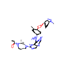 C=CC(=O)N1CCCN(c2ncc3ncnc(Nc4ccc(Oc5ccc6c(c5)nnn6C)c(C)c4)c3n2)C[C@H]1C